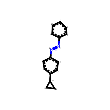 c1ccc(/N=N/c2ccc(C3CC3)cc2)cc1